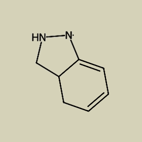 C1=CCC2CN[N]C2=C1